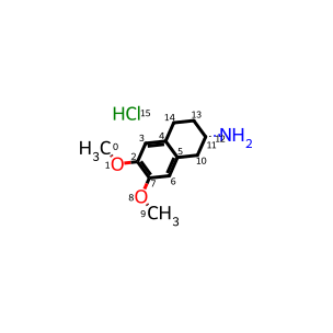 COc1cc2c(cc1OC)C[C@@H](N)CC2.Cl